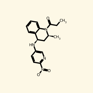 CCC(=O)N1c2ccccc2[C@H](Nc2ccc([N+](=O)[O-])nc2)C[C@@H]1C